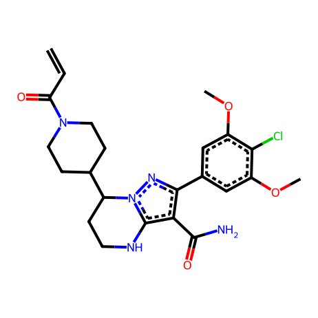 C=CC(=O)N1CCC(C2CCNc3c(C(N)=O)c(-c4cc(OC)c(Cl)c(OC)c4)nn32)CC1